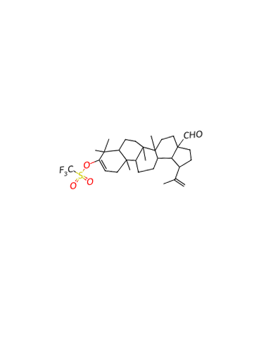 C=C(C)C1CCC2(C=O)CCC3(C)C(CCC4C5(C)CC=C(OS(=O)(=O)C(F)(F)F)C(C)(C)C5CCC43C)C12